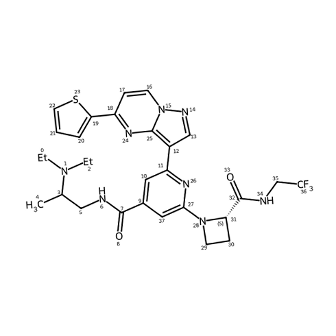 CCN(CC)C(C)CNC(=O)c1cc(-c2cnn3ccc(-c4cccs4)nc23)nc(N2CC[C@H]2C(=O)NCC(F)(F)F)c1